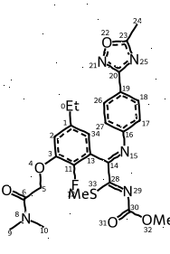 CCc1cc(OCC(=O)N(C)C)c(F)c(C(=N\c2ccc(-c3noc(C)n3)cc2)/C(=N/C(=O)OC)SC)c1